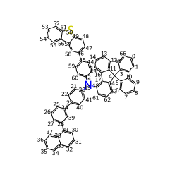 c1ccc(C2(c3ccccc3)c3ccccc3-c3c(N(c4ccc(-c5cccc(-c6cccc7ccccc67)c5)cc4)c4ccc(-c5ccc6sc7ccccc7c6c5)cc4)cccc32)cc1